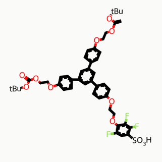 C=C(OCCOc1ccc(-c2cc(-c3ccc(OCCOC(=O)OC(C)(C)C)cc3)cc(-c3ccc(OCCOc4c(F)cc(S(=O)(=O)O)c(F)c4F)cc3)c2)cc1)OC(C)(C)C